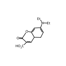 CCN(CC)C1=CCC2C=C(C(=O)O)C(=O)OC2=C1